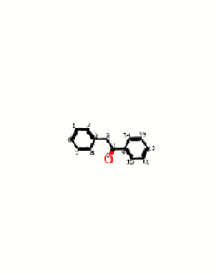 O=C(Cc1ccccc1)c1cc[c]cc1